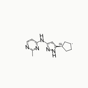 Cc1nccc(Nc2cc([C@H]3C[CH]CC3)[nH]n2)n1